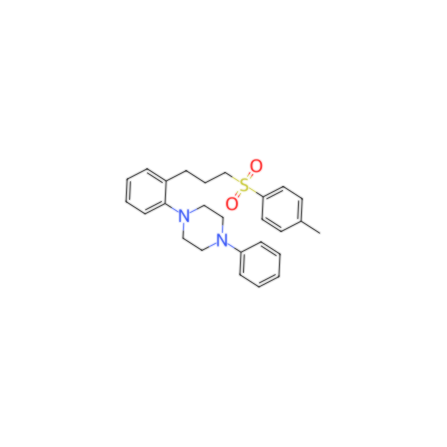 Cc1ccc(S(=O)(=O)CCCc2ccccc2N2CCN(c3ccccc3)CC2)cc1